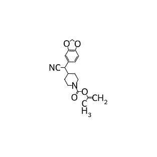 C=C(C)OC(=O)N1CCC(C(C#N)c2ccc3c(c2)OCO3)CC1